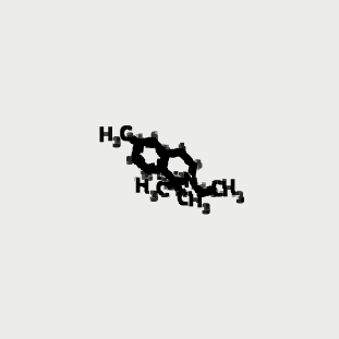 CCN1CCc2cc(C)ccc2C1(C)C